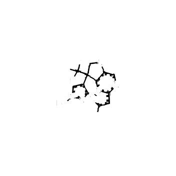 Cn1cc(C2(C(F)(F)F)CNc3cnc4cc(Cl)nn4c32)cn1